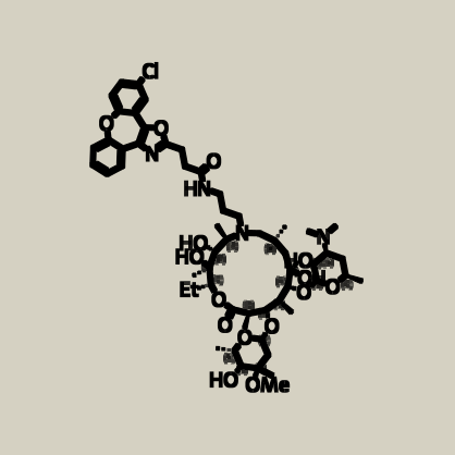 CC[C@H]1OC(=O)[C@H](C)[C@@H](O[C@H]2C[C@@](C)(OC)[C@@H](O)[C@H](C)O2)[C@H](C)[C@@H](O[C@@H]2O[C@H](C)C[C@H](N(C)C)[C@H]2O)[C@](C)(O)C[C@@H](C)CN(CCCNC(=O)CCc2nc3c(o2)-c2cc(Cl)ccc2Oc2ccccc2-3)[C@H](C)[C@@H](O)[C@]1(C)O